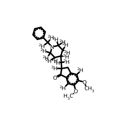 [2H]c1c2c(c([2H])c(OC)c1OC)C(=O)C([2H])(C([2H])([2H])C1([2H])C([2H])([2H])C([2H])([2H])N(C([2H])([2H])c3ccccc3)C([2H])([2H])C1([2H])[2H])C2